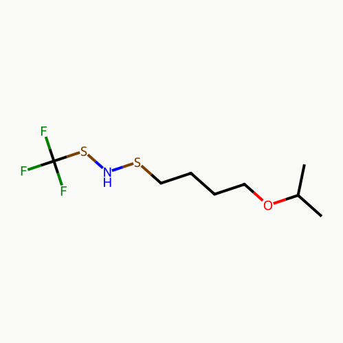 CC(C)OCCCCSNSC(F)(F)F